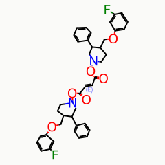 O=C(/C=C/C(=O)ON1CCC(COc2cccc(F)c2)C(c2ccccc2)C1)ON1CCC(COc2cccc(F)c2)C(c2ccccc2)C1